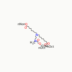 CCCCCCCCCOC(=O)CCCCCCCN(CCCCCCCC(=O)OC(CCCCCCCC)CCCCCCCC)CCCN(C)C(=O)COCC=O